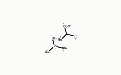 CCCCC(CC)C(=O)[O-].C[C](C)(C)[Sn+]([C](C)(C)C)[C](C)(C)C